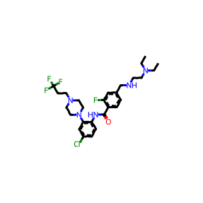 CCN(CC)CCNCc1ccc(C(=O)Nc2ccc(Cl)cc2N2CCN(CCC(F)(F)F)CC2)c(F)c1